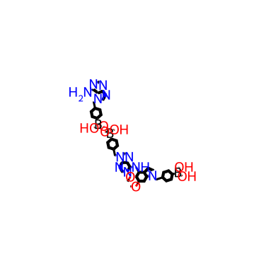 COc1cc2c(ccn2Cc2ccc(B(O)O)cc2)c(Nc2ncnc3c2ncn3Cc2ccc(B(O)OOB(O)c3ccc(Cn4cnc5ncnc(N)c54)cc3)cc2)c1OC